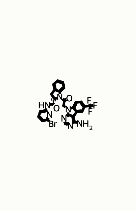 Nc1ncnc2c1c1cc(C(F)(F)F)ccc1n2CC(=O)N1c2ccccc2C[C@H]1C(=O)Nc1cccc(Br)n1